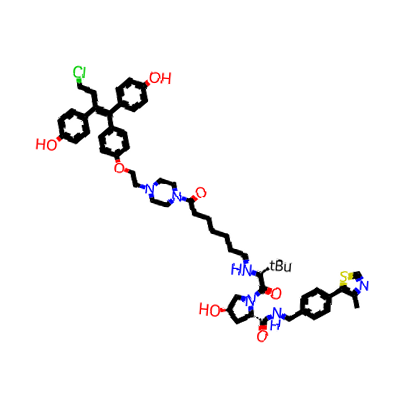 Cc1ncsc1-c1ccc(CNC(=O)[C@@H]2C[C@@H](O)CN2C(=O)[C@@H](NCCCCCCC(=O)N2CCN(CCOc3ccc(C(=C(CCCl)c4ccc(O)cc4)c4ccc(O)cc4)cc3)CC2)C(C)(C)C)cc1